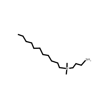 CCCCCCCCCCC[N+](C)(C)CCC[SiH3]